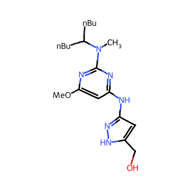 CCCCC(CCCC)N(C)c1nc(Nc2cc(CO)[nH]n2)cc(OC)n1